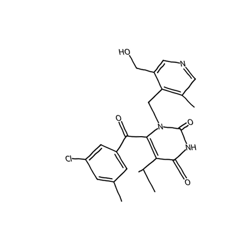 Cc1cc(Cl)cc(C(=O)c2c(C(C)C)c(=O)[nH]c(=O)n2Cc2c(C)cncc2CO)c1